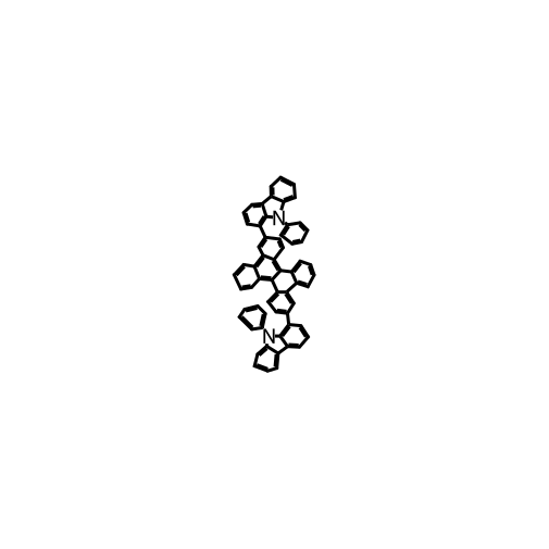 c1ccc(-n2c3ccccc3c3cccc(-c4ccc5c(c4)c4ccccc4c4c6ccc(-c7cccc8c9ccccc9n(-c9ccccc9)c78)cc6c6ccccc6c54)c32)cc1